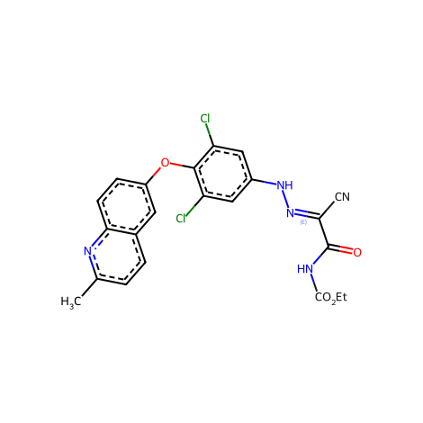 CCOC(=O)NC(=O)/C(C#N)=N/Nc1cc(Cl)c(Oc2ccc3nc(C)ccc3c2)c(Cl)c1